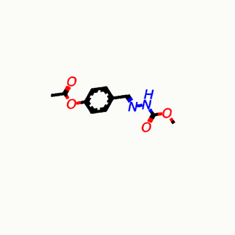 COC(=O)N/N=C/c1ccc(OC(C)=O)cc1